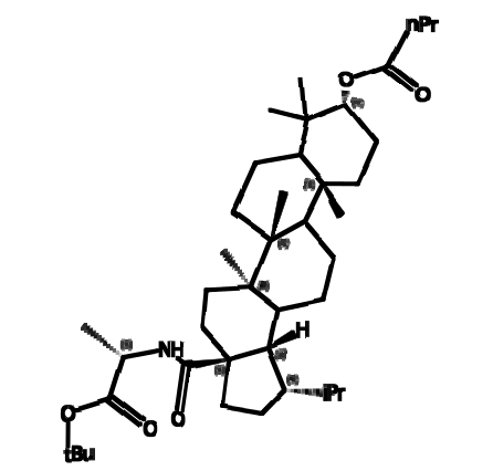 CCCC(=O)O[C@@H]1CC[C@@]2(C)C(CC[C@]3(C)C2CCC2[C@@H]4[C@H](C(C)C)CC[C@]4(C(=O)N[C@@H](C)C(=O)OC(C)(C)C)CC[C@]23C)C1(C)C